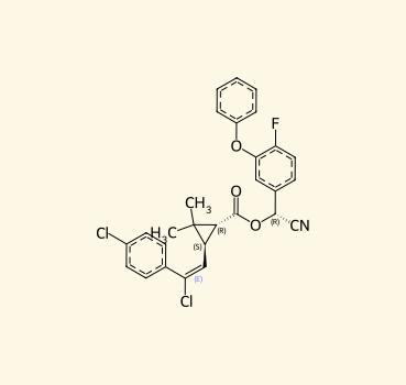 CC1(C)[C@H](/C=C(/Cl)c2ccc(Cl)cc2)[C@H]1C(=O)O[C@@H](C#N)c1ccc(F)c(Oc2ccccc2)c1